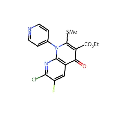 CCOC(=O)c1c(SC)n(-c2ccncc2)c2nc(Cl)c(F)cc2c1=O